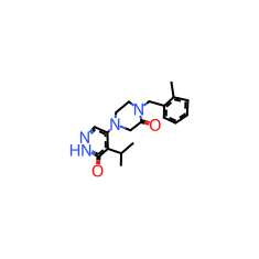 Cc1ccccc1CN1CCN(c2cn[nH]c(=O)c2C(C)C)CC1=O